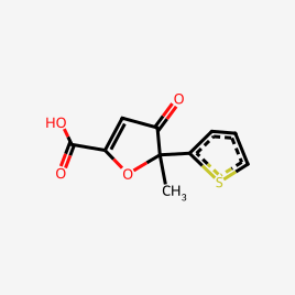 CC1(c2cccs2)OC(C(=O)O)=CC1=O